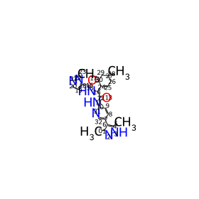 Cc1n[nH]c(C)c1-c1ccc(NC(=O)[C@@H](NC(=O)c2ccnn2C)C2CCC(C)CC2)nc1